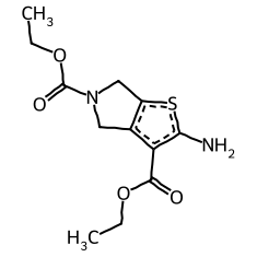 CCOC(=O)c1c(N)sc2c1CN(C(=O)OCC)C2